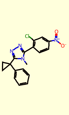 Cn1c(-c2ccc([N+](=O)[O-])cc2Cl)nnc1C1(c2ccccc2)CC1